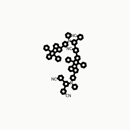 N#Cc1cccc(-c2cc(-c3cccc(C#N)c3)cc(N(c3ccccc3)c3ccc(-c4ccc5c6c(cccc46)-c4c-5c(-c5ccccc5)c5ccc(-c6ccc(-c7cc(-c8ccccc8C#N)cc(N(c8ccccc8)c8ccc(-c9ccc%10c%11c(cccc9%11)-c9c-%10c(-c%10ccccc%10)c%10ccccc%10c9-c9ccccc9)cc8)c7)c(C#N)c6)cc5c4-c4ccccc4)cc3)c2)c1